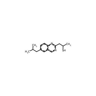 CC(C)Cc1ccc2nc(CC(C)S)ncc2c1